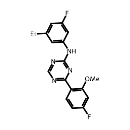 [CH2]Cc1cc(F)cc(Nc2ncnc(-c3ccc(F)cc3OC)n2)c1